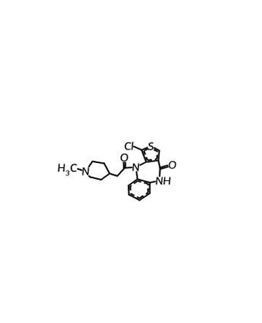 CN1CCC(CC(=O)N2c3ccccc3NC(=O)c3csc(Cl)c32)CC1